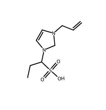 C=CCN1C=CN(C(CC)S(=O)(=O)O)C1